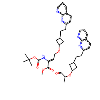 CC(C=O)OC1CC(CCc2ccc3cccnc3n2)C1.COC(=O)C(=CCOC1CC(CCc2ccc3cccnc3n2)C1)NC(=O)OC(C)(C)C